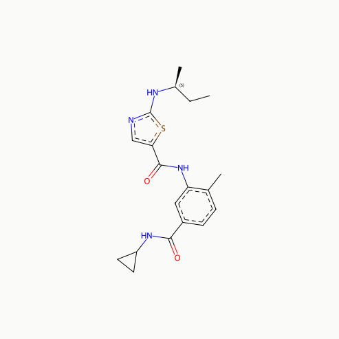 CC[C@H](C)Nc1ncc(C(=O)Nc2cc(C(=O)NC3CC3)ccc2C)s1